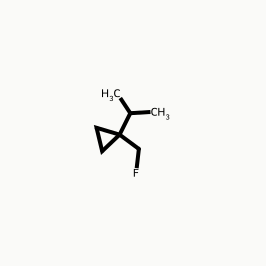 CC(C)C1(CF)CC1